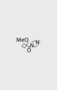 COCC1(C(=O)N2CCN(C)CC2)CCC1